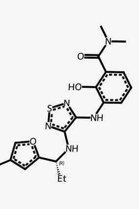 CC[C@@H](Nc1nsnc1Nc1cccc(C(=O)N(C)C)c1O)c1cc(C)co1